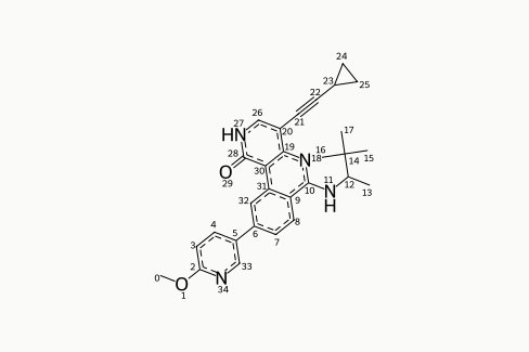 COc1ccc(-c2ccc3c(NC(C)C(C)(C)C)nc4c(C#CC5CC5)c[nH]c(=O)c4c3c2)cn1